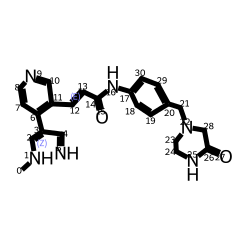 CN/C=C(\C=N)c1ccncc1/C=C/C(=O)Nc1ccc(CN2CCNC(=O)C2)cc1